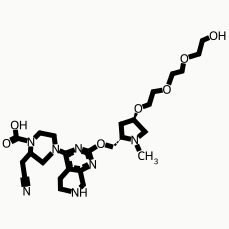 CN1C[C@H](OCCOCCOCCO)C[C@H]1COc1nc2c(c(N3CCN(C(=O)O)C(CC#N)C3)n1)CCNC2